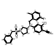 Cc1ccc(F)cc1CN(c1ccc(C#N)c(Cl)c1)[C@H]1CCN(S(=O)(=O)Cc2ccccc2)C1